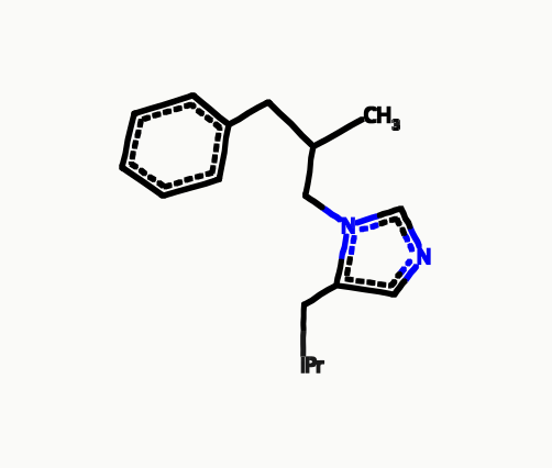 CC(C)Cc1cncn1CC(C)Cc1ccccc1